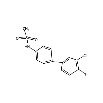 CS(=O)(=O)Nc1ccc(-c2ccc(F)c(Cl)c2)cc1